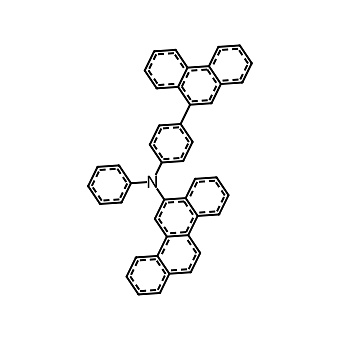 c1ccc(N(c2ccc(-c3cc4ccccc4c4ccccc34)cc2)c2cc3c4ccccc4ccc3c3ccccc23)cc1